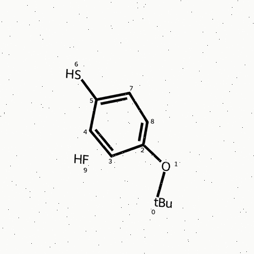 CC(C)(C)Oc1ccc(S)cc1.F